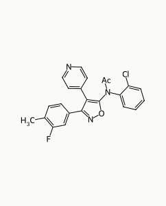 CC(=O)N(c1ccccc1Cl)c1onc(-c2ccc(C)c(F)c2)c1-c1ccncc1